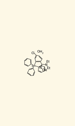 CCN(CC)C(=NO)c1ccc(Cl)c[c]1[Sn]([c]1ccccc1)([c]1ccccc1)[c]1ccccc1.O